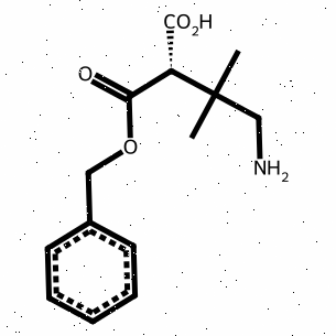 CC(C)(CN)[C@@H](C(=O)O)C(=O)OCc1ccccc1